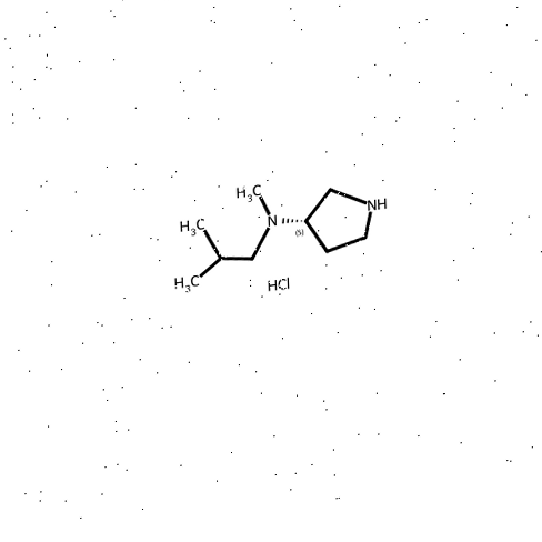 CC(C)CN(C)[C@H]1CCNC1.Cl